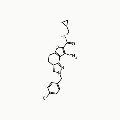 Cc1c(C(=O)NCC2CC2)oc2c1-c1nn(Cc3ccc(Cl)cc3)cc1CC2